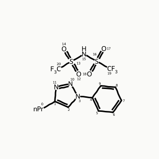 CCCc1cn(-c2ccccc2)nn1.O=S(=O)(NS(=O)(=O)C(F)(F)F)C(F)(F)F